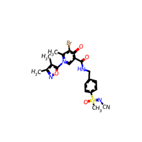 Cc1noc(-n2cc(C(=O)NCc3ccc(S(C)(=O)=NC#N)cc3)c(=O)c(Br)c2C)c1C